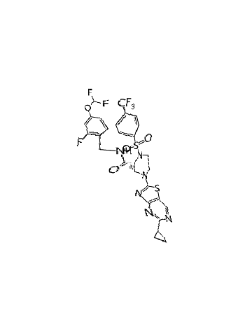 O=C(NCc1ccc(OC(F)F)cc1F)[C@H]1CN(c2nc3nc(C4CC4)ncc3s2)CCN1S(=O)(=O)c1ccc(C(F)(F)F)cc1